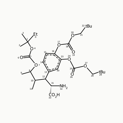 CCC(C)(C)OC(=O)OC(C)C(C)C(c1ccc(OC(=O)OCC(C)(C)C)c(OC(=O)OCC(C)(C)C)c1)[C@H](N)C(=O)O